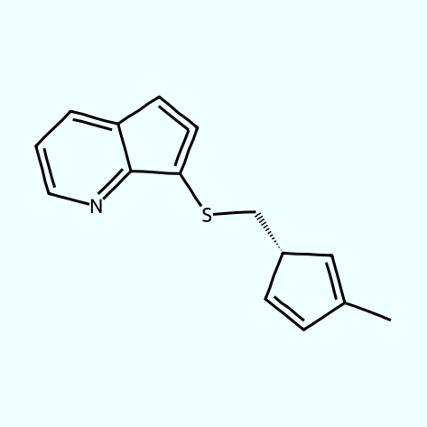 CC1=C[C@@H](CSC2=C=Cc3cccnc32)C=C1